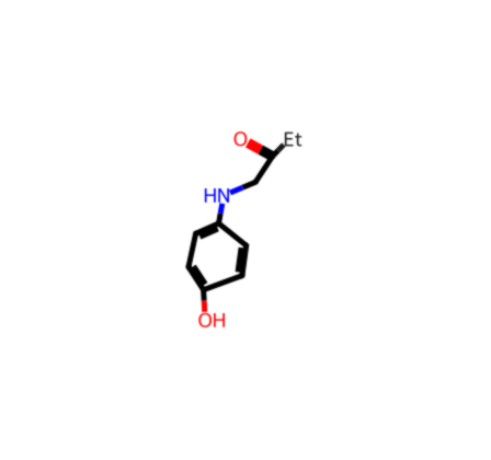 CCC(=O)CNc1ccc(O)cc1